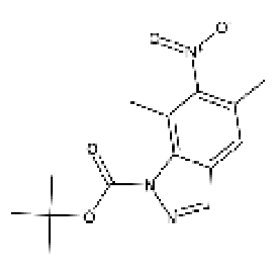 Cc1cc2cnn(C(=O)OC(C)(C)C)c2c(C)c1[N+](=O)[O-]